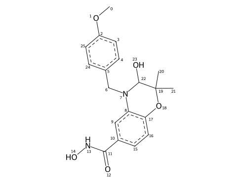 COc1ccc(CN2c3cc(C(=O)NO)ccc3OC(C)(C)C2O)cc1